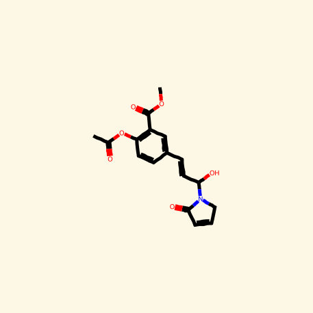 COC(=O)c1cc(/C=C/C(O)N2CC=CC2=O)ccc1OC(C)=O